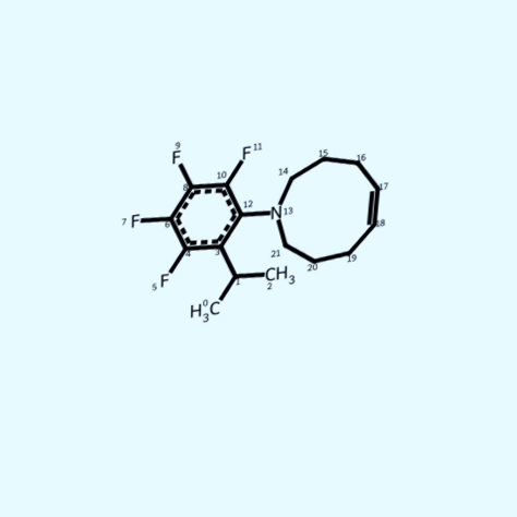 CC(C)c1c(F)c(F)c(F)c(F)c1N1CCC/C=C\CCC1